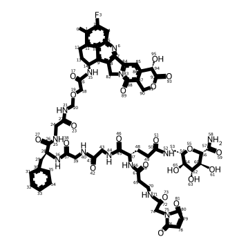 Cc1c(F)cc2nc3c(c4c2c1CC[C@@H]4NC(=O)COCNC(=O)CNC(=O)[C@H](Cc1ccccc1)NC(=O)CNC(=O)CNC(=O)[C@H](CCC(=O)NC[C@@H]1O[C@H](C(N)=O)[C@@H](O)[C@H](O)[C@H]1O)NC(=O)CCNC(=O)CN1C(=O)C=CC1=O)Cn1c-3cc2c(c1=O)COC(=O)[C@H]2O